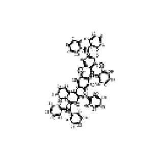 c1ccc(N(c2ccccc2)c2cc3c4c(c2)Oc2cc5c6c7ccccc7c(N(c7ccccc7)c7ccccc7)cc6n(-c6ccccc6)c5cc2B4c2ccccc2O3)cc1